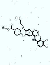 CC(C)(C)OC(=O)N1CCC(Oc2cc3c(Nc4ccc(Cl)c(Cl)c4F)ncnc3cc2OCCCO)CC1